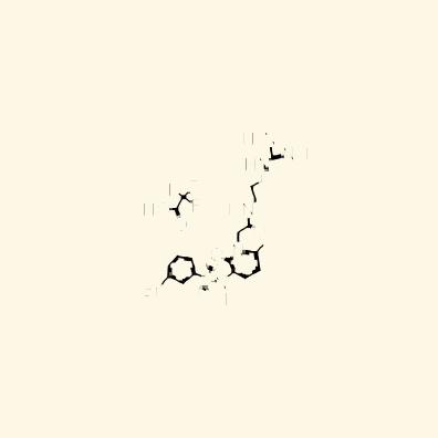 Cc1ccc(NS(=O)(=O)c2cccc(Br)c2)c(=O)n1CC(=O)NCCONC(=N)N.O=C(O)C(F)(F)F